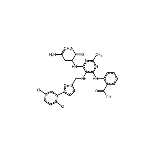 Cc1nc(Nc2ccccc2C(=O)O)c(NCc2ccc(-c3cc(Cl)ccc3Cl)o2)c(NC(CC(N)=O)C(N)=O)n1